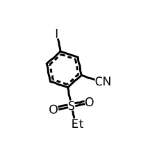 CCS(=O)(=O)c1ccc(I)cc1C#N